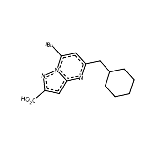 CCC(C)c1cc(CC2CCCCC2)nc2cc(C(=O)O)nn12